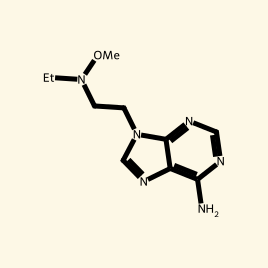 CCN(CCn1cnc2c(N)ncnc21)OC